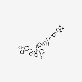 CN(C(=O)Cc1ccc(Cl)c(Cl)c1)C(CN1CC[C@H](NCCOCCOCCOC(F)(F)F)C1)c1ccccc1